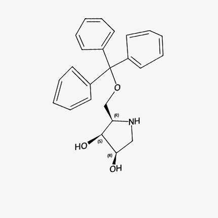 O[C@@H]1[C@H](O)CN[C@@H]1COC(c1ccccc1)(c1ccccc1)c1ccccc1